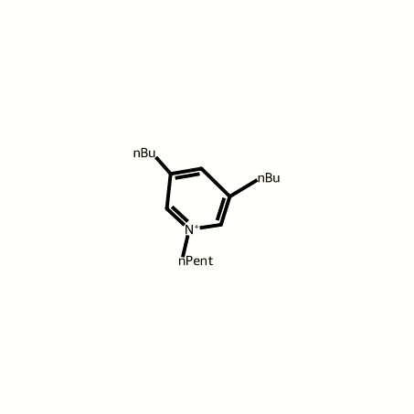 CCCCC[n+]1cc(CCCC)cc(CCCC)c1